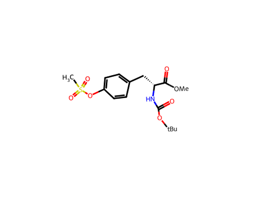 COC(=O)[C@@H](Cc1ccc(OS(C)(=O)=O)cc1)NC(=O)OC(C)(C)C